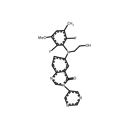 COc1cc(C)c(F)c(N(CCO)c2ccc3ncn(-c4cncnc4)c(=O)c3c2)c1F